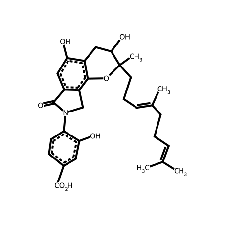 CC(C)=CCC/C(C)=C/CCC1(C)Oc2c(c(O)cc3c2CN(c2ccc(C(=O)O)cc2O)C3=O)CC1O